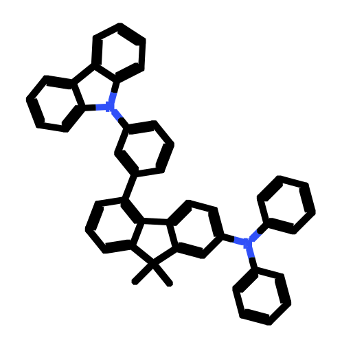 CC1(C)c2cc(N(c3ccccc3)c3ccccc3)ccc2-c2c(-c3cccc(-n4c5ccccc5c5ccccc54)c3)cccc21